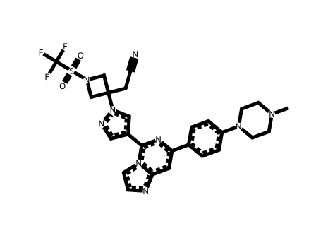 CN1CCN(c2ccc(-c3cc4nccn4c(-c4cnn(C5(CC#N)CN(S(=O)(=O)C(F)(F)F)C5)c4)n3)cc2)CC1